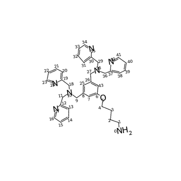 NCCCCOc1cc(CN(Cc2ccccn2)Cc2ccccn2)cc(CN(Cc2ccccn2)Cc2ccccn2)c1